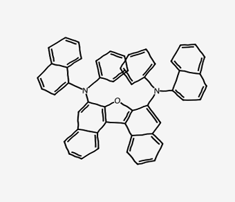 c1ccc(N(c2cccc3ccccc23)c2cc3ccccc3c3c2oc2c(N(c4ccccc4)c4cccc5ccccc45)cc4ccccc4c23)cc1